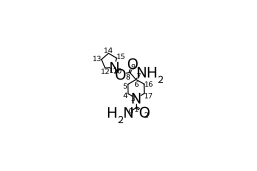 NC(=O)N1CCC(N)(C(=O)ON2CCCC2)CC1